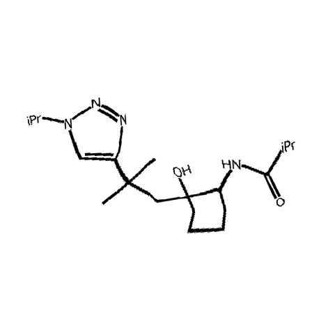 CC(C)C(=O)NC1CCC1(O)CC(C)(C)c1cn(C(C)C)nn1